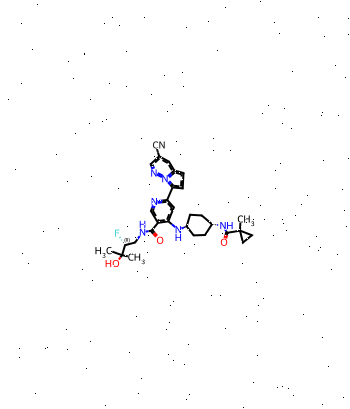 CC1(C(=O)N[C@H]2CC[C@H](Nc3cc(-c4ccc5cc(C#N)cnn45)ncc3C(=O)NC[C@@H](F)C(C)(C)O)CC2)CC1